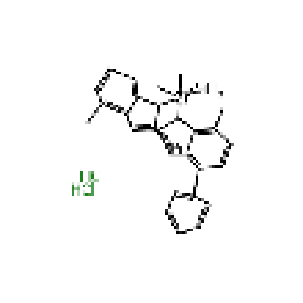 CC1=Cc2c(-c3ccccc3)ccc(C)c2[CH]1[Zr]([CH3])([CH3])(=[SiH2])[CH]1C(C(C)C)=Cc2c(C)cccc21.Cl.Cl